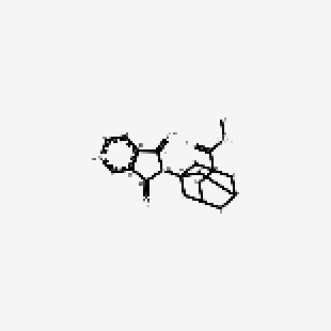 COC(=O)C12CC3CC(C1)CC(N1C(=O)c4ccncc4C1=O)(C3)C2